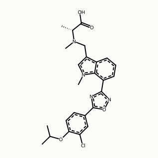 CC(C)Oc1ccc(-c2nc(-c3cccc4c(CN(C)[C@H](C)C(=O)O)cn(C)c34)no2)cc1Cl